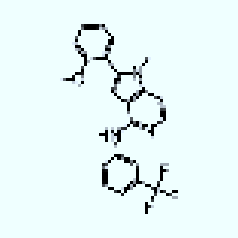 COc1ccccc1-c1cc2c(Nc3cccc(C(F)(F)F)c3)nccc2n1C